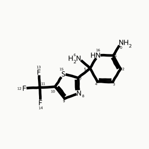 NC1=CC=CC(N)(c2ncc(C(F)(F)F)s2)N1